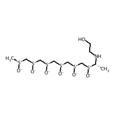 C[C@@H](NCCO)[S+]([O-])C[S+]([O-])C[S+]([O-])C[S+]([O-])C[S+]([O-])C[S@+](C)[O-]